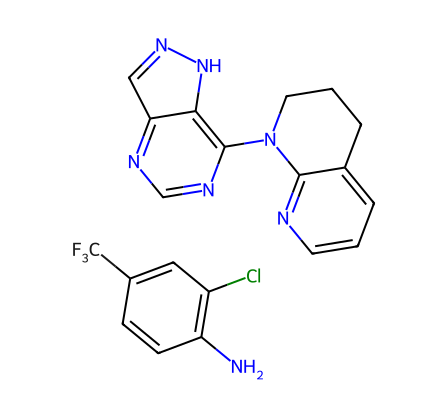 Nc1ccc(C(F)(F)F)cc1Cl.c1cnc2c(c1)CCCN2c1ncnc2cn[nH]c12